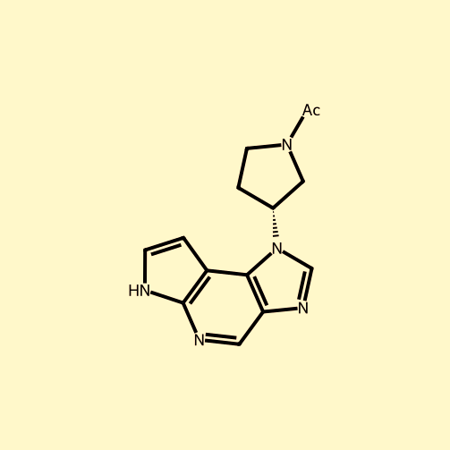 CC(=O)N1CC[C@@H](n2cnc3cnc4[nH]ccc4c32)C1